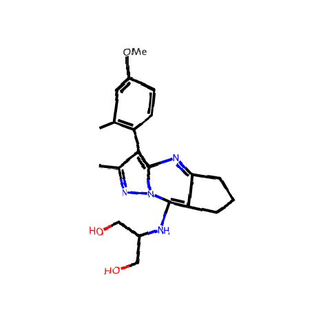 COc1ccc(-c2c(C)nn3c(NC(CO)CO)c4c(nc23)CCC4)c(C)c1